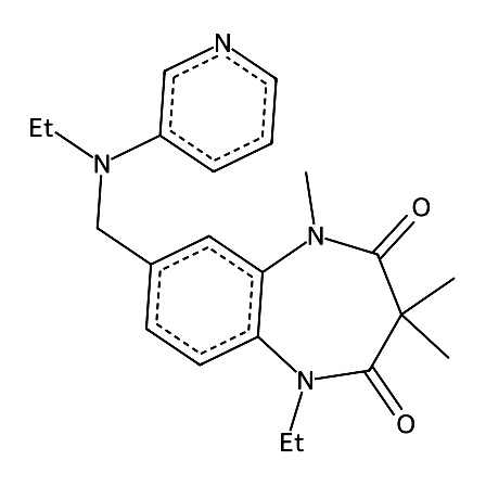 CCN(Cc1ccc2c(c1)N(C)C(=O)C(C)(C)C(=O)N2CC)c1cccnc1